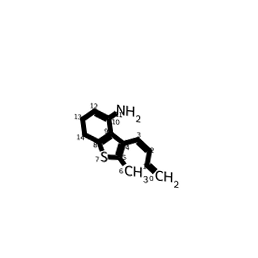 C=C/C=C\c1c(C)sc2c1C(N)=CCC2